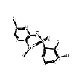 COc1ncc(Cl)nc1NS(=O)(=O)c1cccc(Cl)c1C